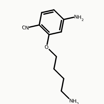 [C-]#[N+]c1ccc(N)cc1OCCCCN